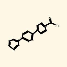 NC(=O)c1ccc(-c2ccc(-c3ccccc3)cc2)cc1